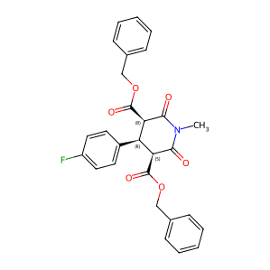 CN1C(=O)[C@@H](C(=O)OCc2ccccc2)[C@@H](c2ccc(F)cc2)[C@@H](C(=O)OCc2ccccc2)C1=O